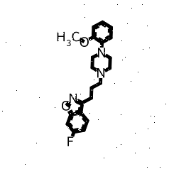 COc1ccccc1N1CCN(CCCc2noc3cc(F)ccc23)CC1